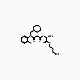 Cc1ccccc1N(CC1CCOCC1)C(=O)CC(=O)N[C@H](C(=O)NCCCO)C(C)(C)C